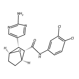 Nc1ncc([C@@H]2[C@H](C(=O)Nc3ccc(Cl)c(Cl)c3)[C@H]3CC[C@@H]2O3)cn1